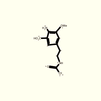 COc1cc(CCNC(=O)C(F)(F)F)cc(C(=O)O)c1N